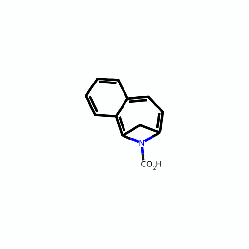 O=C(O)N1C2=CC=c3ccccc3=C1C2